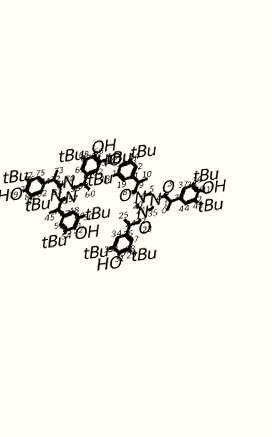 CC(C(=O)N1CN(C(=O)C(C)c2cc(C(C)(C)C)c(O)c(C(C)(C)C)c2)CN(C(=O)C(C)c2cc(C(C)(C)C)c(O)c(C(C)(C)C)c2)C1)c1cc(C(C)(C)C)c(O)c(C(C)(C)C)c1.CC(c1cc(C(C)(C)C)c(O)c(C(C)(C)C)c1)c1nc(C(C)c2cc(C(C)(C)C)c(O)c(C(C)(C)C)c2)nc(C(C)c2cc(C(C)(C)C)c(O)c(C(C)(C)C)c2)n1